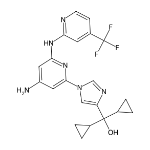 Nc1cc(Nc2cc(C(F)(F)F)ccn2)nc(-n2cnc(C(O)(C3CC3)C3CC3)c2)c1